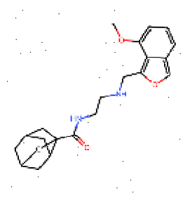 COc1cccc2coc(CNCCNC(=O)C34CC5CC(CC3C5)C4)c12